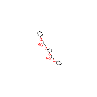 OC(COc1ccccc1)COc1cccc(OCC(O)COc2ccccc2)c1